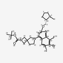 CN1CCC[C@H]1COc1nc(N2CCC3(CN(C(=O)OC(C)(C)C)C3)C2)c2cc(I)c(Br)c(F)c2n1